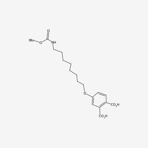 CC(C)(C)OC(=O)NCCCCCCCCOc1ccc(C(=O)O)c(C(=O)O)c1